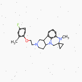 Cc1cc(F)ccc1OCCN1CCC2C(C1)c1cccc3c1N2CC1(CC1)N3C